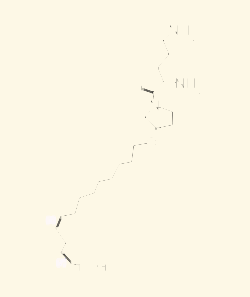 CCCCC/C=C\C/C=C\CCCCCCCCO[C@H]1CCN(C(=O)[C@@H](N)CCCN)C1